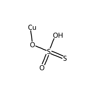 O=S(O)(=S)[O][Cu]